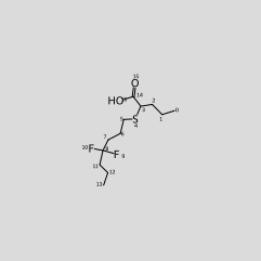 CCCC(SCCCC(F)(F)CCC)C(=O)O